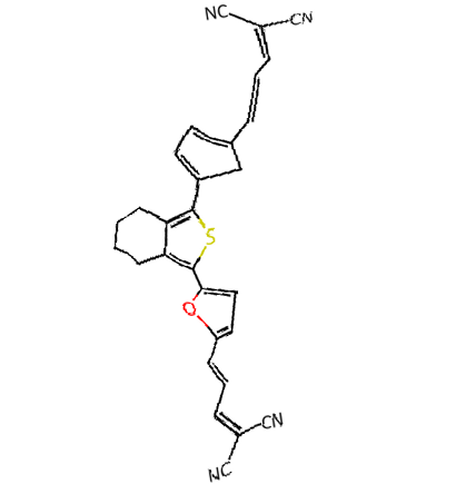 N#CC(C#N)=C/C=C/C1=CC=C(c2sc(-c3ccc(/C=C/C=C(C#N)C#N)o3)c3c2CCCC3)C1